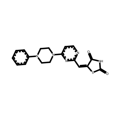 O=C1NC(=O)/C(=C\c2nccc(N3CCN(c4ccccc4)CC3)n2)S1